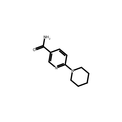 NC(=O)c1ccc(N2CC[CH]CC2)nc1